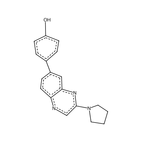 Oc1ccc(-c2ccc3ncc(N4CCCC4)nc3c2)cc1